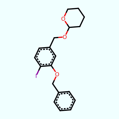 Ic1ccc(COC2CCCCO2)cc1OCc1ccccc1